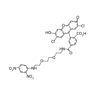 O=C(NCCOCCOCCNc1ccc([N+](=O)[O-])cc1[N+](=O)[O-])c1ccc(C(=O)O)c(-c2c3cc(Cl)c(=O)cc-3oc3cc(O)c(Cl)cc23)c1